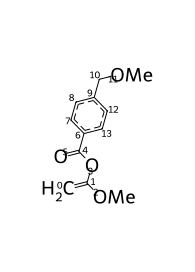 C=C(OC)OC(=O)c1ccc(COC)cc1